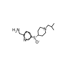 CC(C)CN1CCC([S+]([O-])c2ccc(CN)nc2)CC1